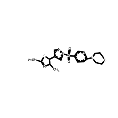 CC(=O)NC1=NC(C)C(c2cnn(S(=O)(=O)c3ccc(N4CCOCC4)nc3)c2)S1